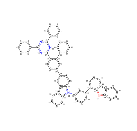 c1ccc(-c2nc(-c3ccccc3)nc(-c3ccc(-c4ccc5c(c4)c4ccccc4n5-c4cccc(-c5cccc6c5oc5ccccc56)c4)cc3-c3ccccc3)n2)cc1